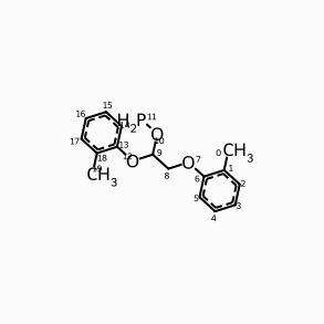 Cc1ccccc1OCC(OP)Oc1ccccc1C